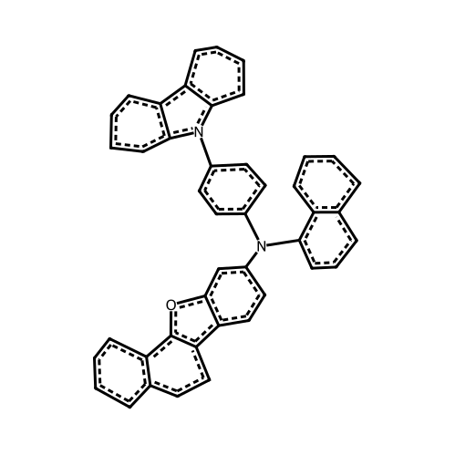 c1ccc2c(N(c3ccc(-n4c5ccccc5c5ccccc54)cc3)c3ccc4c(c3)oc3c5ccccc5ccc43)cccc2c1